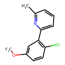 Cc1cccc(-c2cc(OC(F)(F)F)ccc2Cl)n1